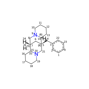 c1ccc(C[C@@]23C[C@@H](CN4CCCC[C@@H]42)[C@@H]2CCCCN2C3)cc1